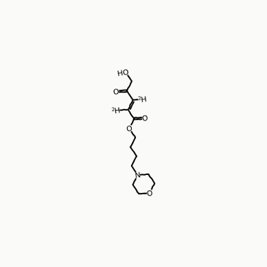 [2H]/C(C(=O)CO)=C(/[2H])C(=O)OCCCCN1CCOCC1